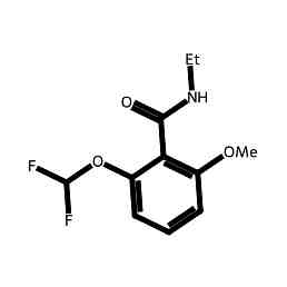 CCNC(=O)c1c(OC)cccc1OC(F)F